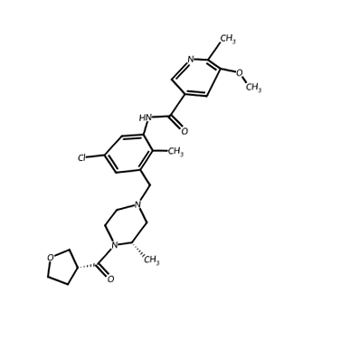 COc1cc(C(=O)Nc2cc(Cl)cc(CN3CCN(C(=O)[C@@H]4CCOC4)[C@@H](C)C3)c2C)cnc1C